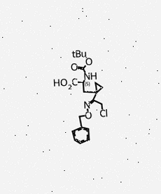 CC(C)(C)OC(=O)N[C@@H](CC1(C(CCl)=NOCc2ccccc2)CC1)C(=O)O